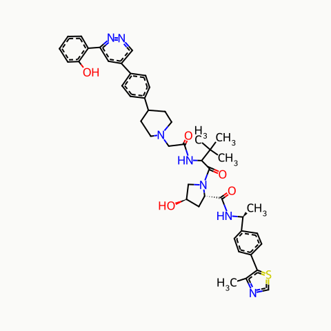 Cc1ncsc1-c1ccc([C@H](C)NC(=O)[C@@H]2C[C@@H](O)CN2C(=O)C(NC(=O)CN2CCC(c3ccc(-c4cnnc(-c5ccccc5O)c4)cc3)CC2)C(C)(C)C)cc1